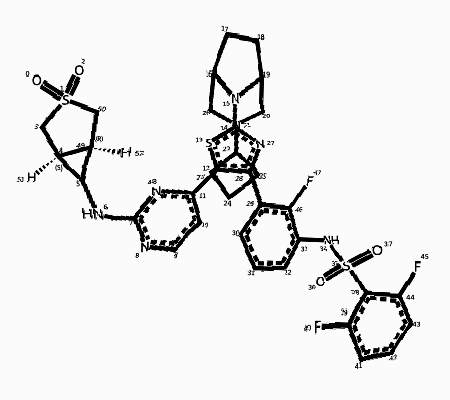 O=S1(=O)C[C@@H]2C(Nc3nccc(-c4sc(N5C6CCC5CN(C5CCC5)C6)nc4-c4cccc(NS(=O)(=O)c5c(F)cccc5F)c4F)n3)[C@@H]2C1